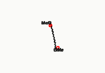 COCOCCCCCCCCCCCCCCCCC(=O)OC